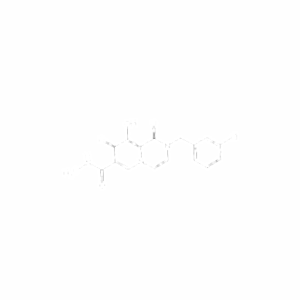 CNC(=O)c1cn2ccn(Cc3cccc(Cl)c3)c(=O)c2c(O)c1=O